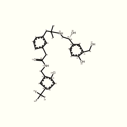 CC(C)(Cc1cccc(CC(=O)NCc2cc(C(F)(F)F)ccc2Cl)c1)NC[C@H](O)c1ccc(O)c(CO)c1